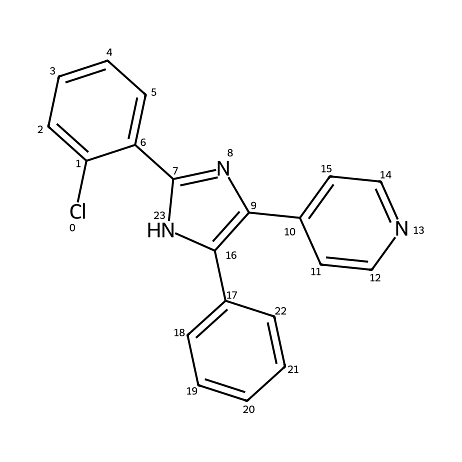 Clc1ccccc1-c1nc(-c2ccncc2)c(-c2ccccc2)[nH]1